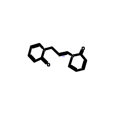 O=c1ccccn1/C=C/Cn1ccccc1=O